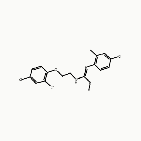 CC/C(=N\c1ccc(Cl)cc1C)NCCOc1ccc(Cl)cc1Cl